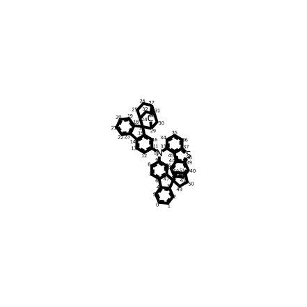 c1ccc2c(c1)-c1ccc(N(c3ccc4c(c3)C3(c5ccccc5-4)C4CCC5CC3CC5C4)c3cccc4sc5ccccc5c34)cc1C21CCCC1